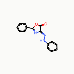 O=C1OC(c2ccccc2)=NC1=NNc1ccccc1